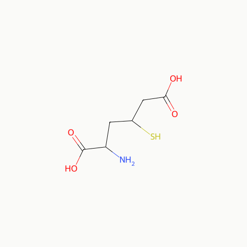 NC(CC(S)CC(=O)O)C(=O)O